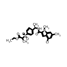 CCOC(=O)C(C)S(=O)(=O)c1ccc([C@@H](C)NC(=O)c2cc3c(Cl)cc(C)cc3n2C)cc1